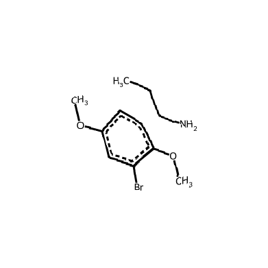 CCCN.COc1ccc(OC)c(Br)c1